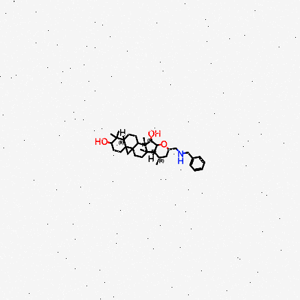 C[C@@H]1CC(CNCc2ccccc2)OC2[C@H]1C1(C)CCC34CC35CCC(O)C(C)(C)[C@@H]5CCC4[C@]1(C)[C@H]2O